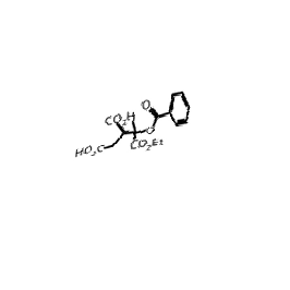 CCOC(=O)C(OC(=O)c1ccccc1)(C(=O)O)C(C)CC(=O)O